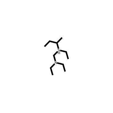 CCC(C)[SiH](CC)CN(CC)CC